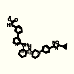 COC(=O)Nc1cccc(-c2ccnc(N[C@@H]3CCCC[C@H]3N[C@H]3CCCN(c4ccc(-c5noc(C6CC6)n5)cc4)C3)c2)c1